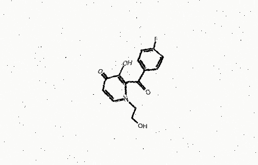 O=C(c1ccc(F)cc1)c1c(O)c(=O)ccn1CCO